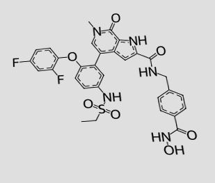 CCS(=O)(=O)Nc1ccc(Oc2ccc(F)cc2F)c(-c2cn(C)c(=O)c3[nH]c(C(=O)NCc4ccc(C(=O)NO)cc4)cc23)c1